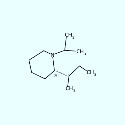 CCC(C)[C@@H]1CCCCN1C(C)C